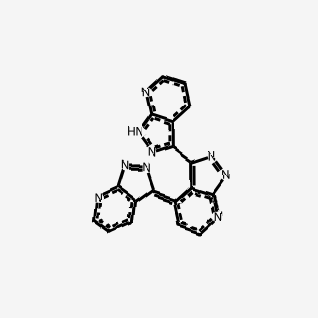 c1cnc2c(c1)C(=c1ccnc3c1=C(c1n[nH]c4ncccc14)N=N3)N=N2